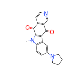 Cn1c2c(c3cc(N4CCCC4)ccc31)C(=O)c1cnccc1C2=O